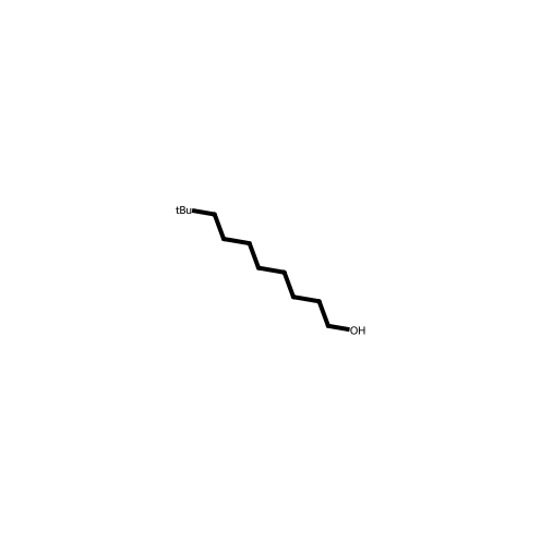 CC(C)(C)CCCCCCCCO